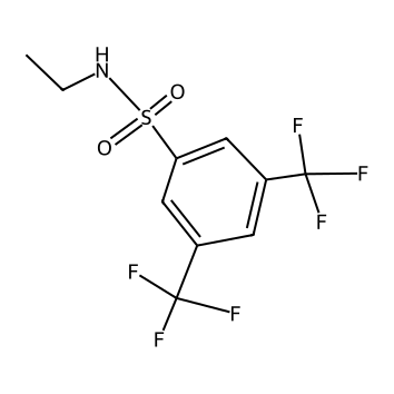 CCNS(=O)(=O)c1cc(C(F)(F)F)cc(C(F)(F)F)c1